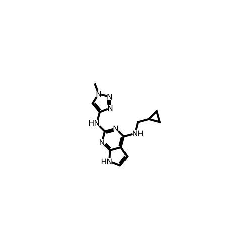 Cn1cc(Nc2nc(NCC3CC3)c3cc[nH]c3n2)nn1